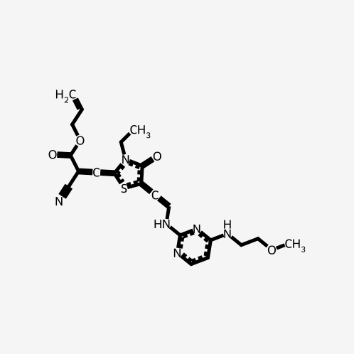 C=CCOC(=O)C(=C=c1sc(=C=CNc2nccc(NCCOC)n2)c(=O)n1CC)C#N